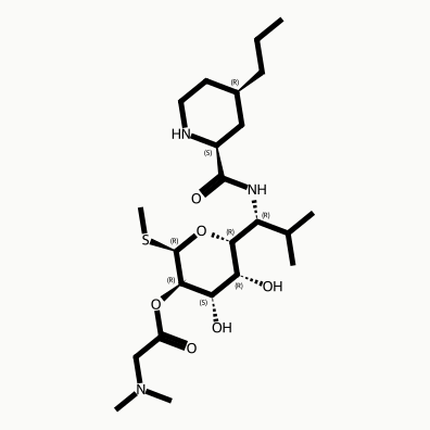 CCC[C@@H]1CCN[C@H](C(=O)N[C@H](C(C)C)[C@H]2O[C@H](SC)[C@H](OC(=O)CN(C)C)[C@@H](O)[C@H]2O)C1